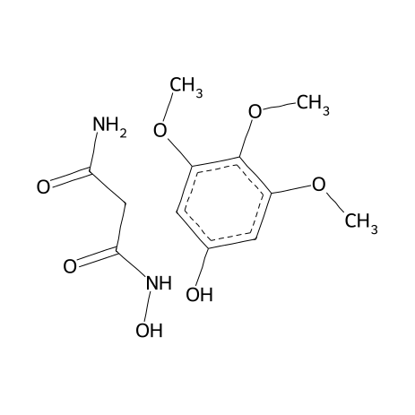 COc1cc(O)cc(OC)c1OC.NC(=O)CC(=O)NO